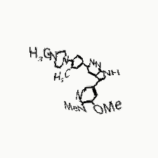 CNc1ncc(-c2c[nH]c3nnc(-c4ccc(N5CCN(C)CC5)c(C)c4)cc23)cc1OC